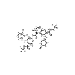 C[C@@H]1CN(CC(=O)N2c3cc(Cc4ccc(F)cc4)c(C(=O)NCC(F)(F)F)nc3OC[C@@H]2C)[C@@H](CN2[C@H](C)COC[C@H]2C)CN1C(=O)OC(C)(C)C